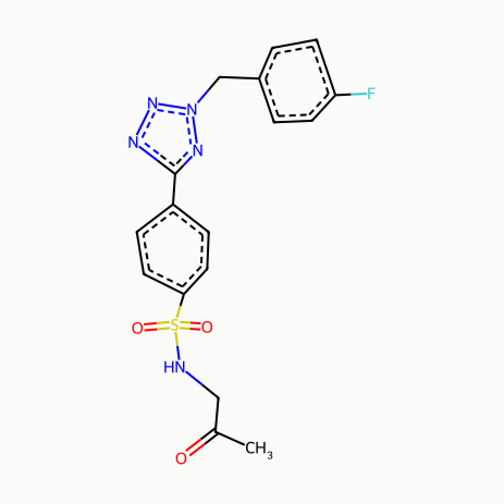 CC(=O)CNS(=O)(=O)c1ccc(-c2nnn(Cc3ccc(F)cc3)n2)cc1